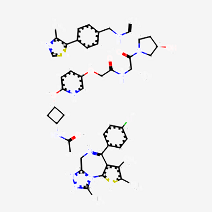 C=C(NCc1ccc(-c2scnc2C)cc1)[C@@H]1C[C@@H](O)CN1C(=O)[C@@H](NC(=O)COc1ccc(O[C@H]2C[C@@H](NC(=O)C[C@@H]3N=C(c4ccc(Cl)cc4)c4c(sc(C)c4C)-n4c(C)nnc43)C2)nc1)C(C)(C)C